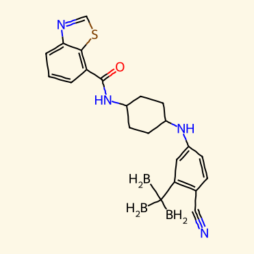 BC(B)(B)c1cc(NC2CCC(NC(=O)c3cccc4ncsc34)CC2)ccc1C#N